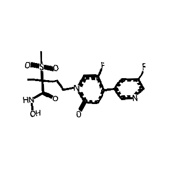 CC(CCn1cc(F)c(-c2cncc(F)c2)cc1=O)(C(=O)NO)S(C)(=O)=O